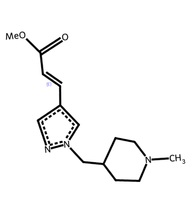 COC(=O)/C=C/c1cnn(CC2CCN(C)CC2)c1